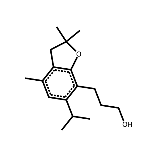 Cc1cc(C(C)C)c(CCCO)c2c1CC(C)(C)O2